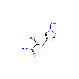 CCCCCn1cc(C[C@H](N)C(N)=O)nn1